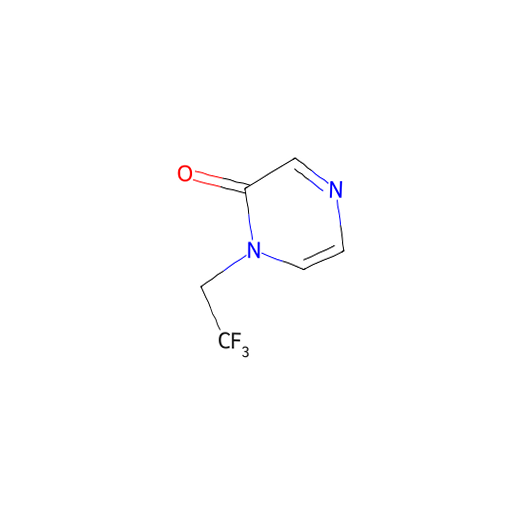 O=c1cnccn1CC(F)(F)F